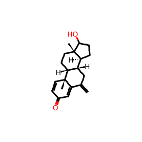 C=C1C[C@@H]2[C@@H](CC[C@]3(C)C(O)CC[C@@H]23)[C@@]2(C)C=CC(=O)C=C12